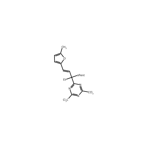 CCCCCC(C=Cc1ccc(C)o1)(CC)c1nc(C(Cl)(Cl)Cl)nc(C(Cl)(Cl)Cl)n1